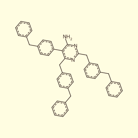 Nc1nc(Cc2cccc(Cc3ccccc3)c2)nc(Cc2ccc(Cc3ccccc3)cc2)c1-c1ccc(Cc2ccccc2)cc1